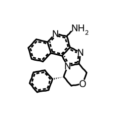 Nc1nc2ccccc2c2c1nc1n2[C@@H](c2ccccc2)COC1